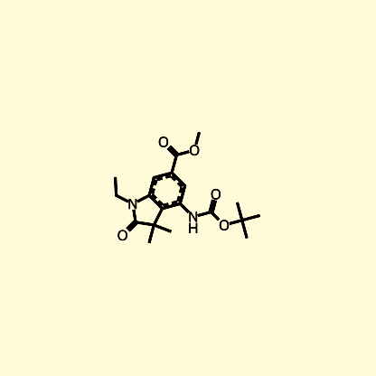 CCN1C(=O)C(C)(C)c2c(NC(=O)OC(C)(C)C)cc(C(=O)OC)cc21